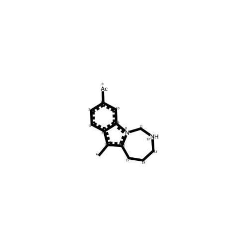 CC(=O)c1ccc2c(C)c3n(c2c1)CNCCC3